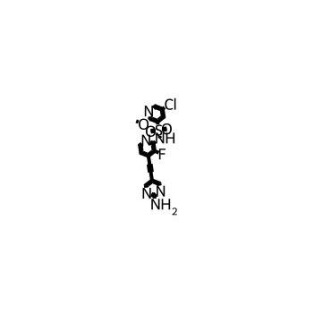 COc1ncc(Cl)cc1S(=O)(=O)Nc1nccc(C#Cc2cnc(N)nc2)c1F